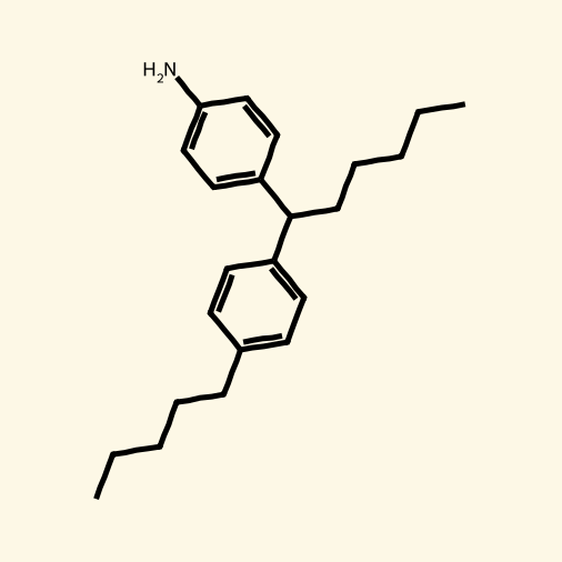 CCCCCc1ccc(C(CCCCC)c2ccc(N)cc2)cc1